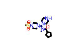 CN([C](N1CCNCC1)N1CCN(S(C)(=O)=O)CC1)C(=O)C1CCCC1